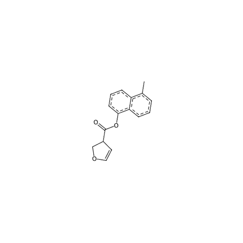 Cc1cccc2c(OC(=O)C3C=COC3)cccc12